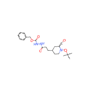 CC(C)(C)ON1CCC(CCC(=O)NNC(=O)OCc2ccccc2)CC1=C=O